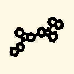 C1=CC2c3cc(-c4ccc5c(c4)c4c(n5-c5cccc6ccccc56)=CCCC=4)ccc3N(c3ccc4ccccc4c3)C2C=C1